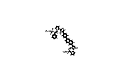 COC(=O)N[C@@H](C(=O)N1CCC[C@H]1c1ncc(-c2ccc(-c3ccc4cc(C5=CNC([C@@H]6CCCN6C(=O)OC(C)(C)C)N5)ccc4c3)cc2)[nH]1)c1ccccc1